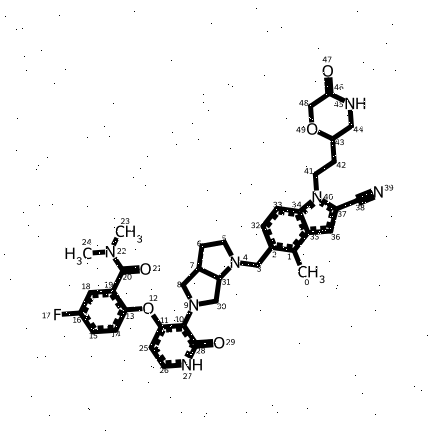 Cc1c(CN2CCC3CN(c4c(Oc5ccc(F)cc5C(=O)N(C)C)cc[nH]c4=O)CC32)ccc2c1cc(C#N)n2CCC1CNC(=O)CO1